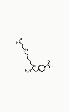 NC(Cc1ccc([N+](=O)[O-])cc1)NCCCCCNCCNO